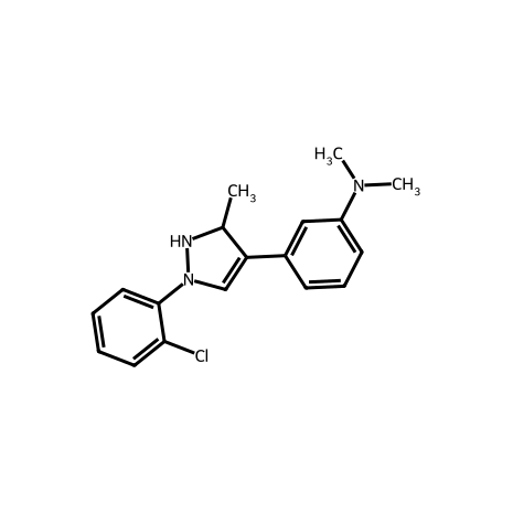 CC1NN(c2ccccc2Cl)C=C1c1cccc(N(C)C)c1